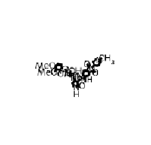 COc1ccc(OC[C@H](O)CNc2cc[nH]c(=O)c2-c2nc3cc4c(cc3[nH]2)C(=O)N(C2CCN(C)CC2)C4=O)c(OC)c1OC